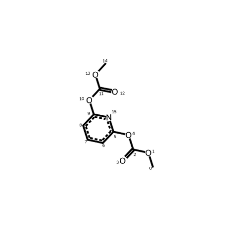 COC(=O)Oc1cccc(OC(=O)OC)n1